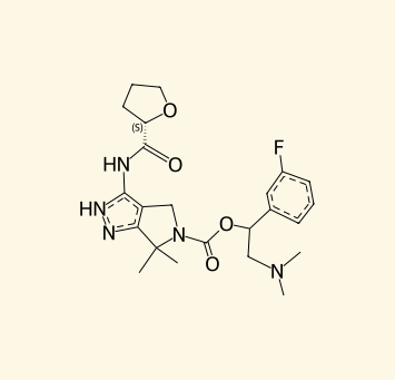 CN(C)CC(OC(=O)N1Cc2c(n[nH]c2NC(=O)[C@@H]2CCCO2)C1(C)C)c1cccc(F)c1